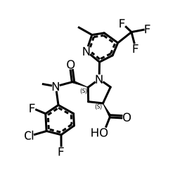 Cc1cc(C(F)(F)F)cc(N2C[C@@H](C(=O)O)C[C@H]2C(=O)N(C)c2ccc(F)c(Cl)c2F)n1